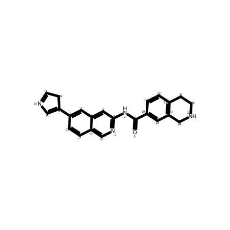 O=C(Nc1cc2cc(C3=CN=CC3)ccc2cn1)c1ccc2c(c1)CNCC2